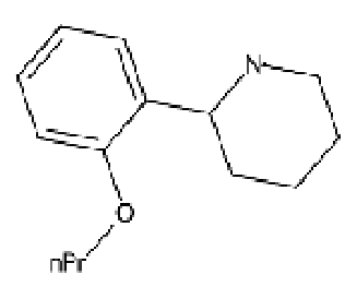 CCCOc1ccccc1C1CCCC[N]1